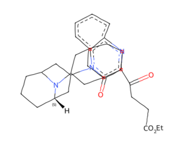 CCOC(=O)CCC(=O)c1nc2ccccc2n(C2CC3CCC[C@@H](C2)N3C2CC3CCCC(C3)C2)c1=O